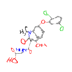 Cn1c(=O)c(C(=O)NCC(=O)O)c(O)c2ccc(Oc3cc(Cl)ccc3Cl)cc21